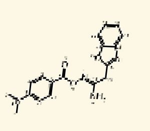 CN(C)c1ccc(C(=O)ON=C(N)Cc2nc3ccccc3o2)cc1